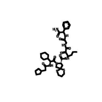 CCCC(NC(=O)[C@@H]1CC2(CN1C(=O)[C@@H](NC(=O)CC1CCCC1)C1CCCCC1)SCCCS2)C(=O)C(=O)NCC(=O)NC(C(N)=O)c1ccccc1